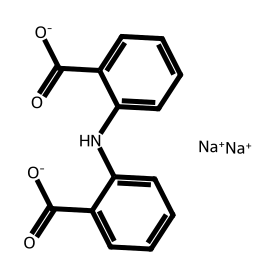 O=C([O-])c1ccccc1Nc1ccccc1C(=O)[O-].[Na+].[Na+]